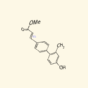 COC(=O)/C=C/c1ccc(-c2ccc(O)cc2C)cc1